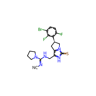 N#C/N=C(/NCc1[nH]c(=S)n2c1C[C@@H](c1c(F)ccc(Br)c1F)C2)N1CCCC1